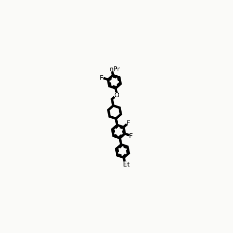 CCCc1ccc(OCC2CCC(c3ccc(-c4ccc(CC)cc4)c(F)c3F)CC2)cc1F